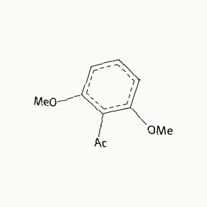 [CH2]C(=O)c1c(OC)cccc1OC